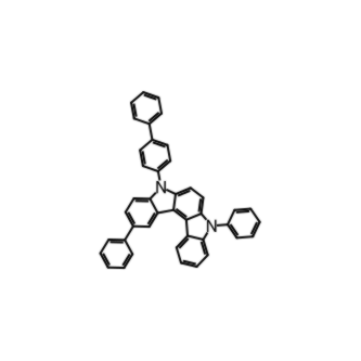 c1ccc(-c2ccc(-n3c4ccc(-c5ccccc5)cc4c4c5c6ccccc6n(-c6ccccc6)c5ccc43)cc2)cc1